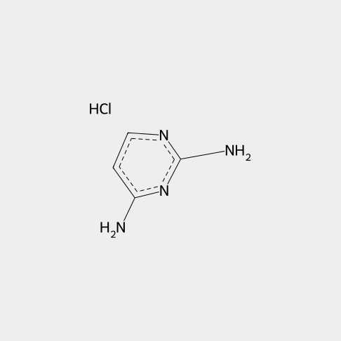 Cl.Nc1ccnc(N)n1